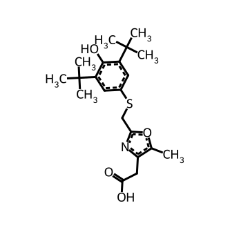 Cc1oc(CSc2cc(C(C)(C)C)c(O)c(C(C)(C)C)c2)nc1CC(=O)O